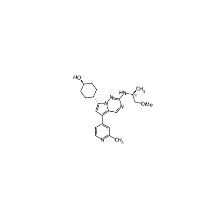 COC[C@H](C)Nc1ncc2c(-c3ccnc(C)c3)cc([C@H]3CC[C@H](O)CC3)n2n1